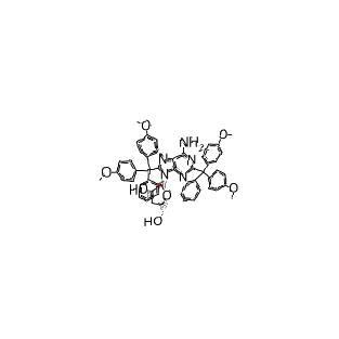 COc1ccc(C(c2ccccc2)(c2ccc(OC)cc2)c2nc(N)c3nc(C(c4ccccc4)(c4ccc(OC)cc4)c4ccc(OC)cc4)n([C@@H]4O[C@H](CO)C[C@@H]4O)c3n2)cc1